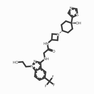 O=C(CNc1nn(CCO)c2ccc(C(F)(F)F)cc12)NC1CN([C@H]2CC[C@@](O)(c3cncs3)CC2)C1